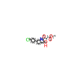 CCOC(=O)CCC(=O)c1nc2cc(-c3ccc(Cl)cc3)ccc2cc1O